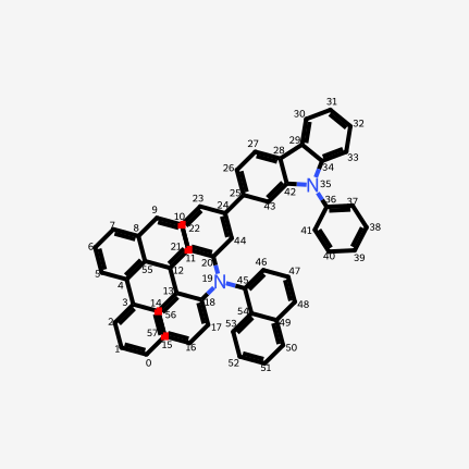 c1ccc(-c2cccc3cccc(-c4ccccc4N(c4cccc(-c5ccc6c7ccccc7n(-c7ccccc7)c6c5)c4)c4cccc5ccccc45)c23)cc1